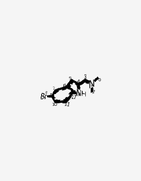 CN(C)Cc1cc2cc(Br)ccc2[nH]1